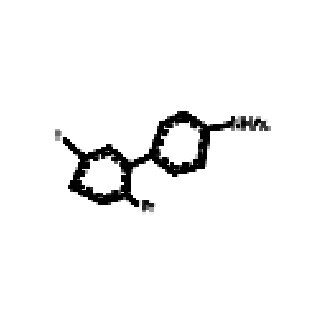 CC(=O)Nc1ccc(-c2cc(F)ccc2C(C)C)cc1